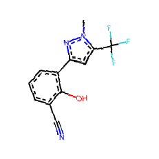 Cn1nc(-c2cccc(C#N)c2O)cc1C(F)(F)F